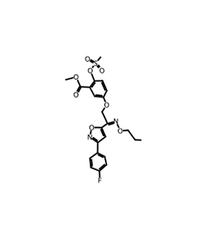 CCCON=C(COc1ccc(OS(C)(=O)=O)c(C(=O)OC)c1)c1cc(-c2ccc(F)cc2)no1